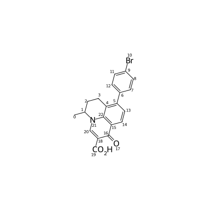 CC1CCc2c(-c3ccc(Br)cc3)ccc3c(=O)c(C(=O)O)cn1c23